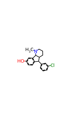 CN1CCCC2C(c3cccc(Cl)c3)c3ccc(O)cc3C21